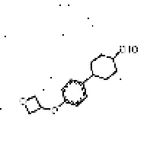 O=CC1CCC(c2ccc(OC3COC3)cc2)CC1